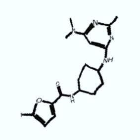 Cc1nc(NC2CCC(NC(=O)c3ccc(I)o3)CC2)cc(N(C)C)n1